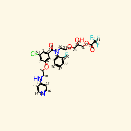 O=C(c1cc(Cl)cc(OCCNc2ccncc2)c1)N(CCOCC(O)COC(=O)C(F)(F)F)c1ccccc1F